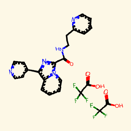 O=C(NCCc1ccccn1)c1nc(-c2ccncc2)c2ccccn12.O=C(O)C(F)(F)F.O=C(O)C(F)(F)F